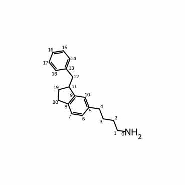 NCCCCc1ccc2c(c1)C(Cc1ccccc1)CC2